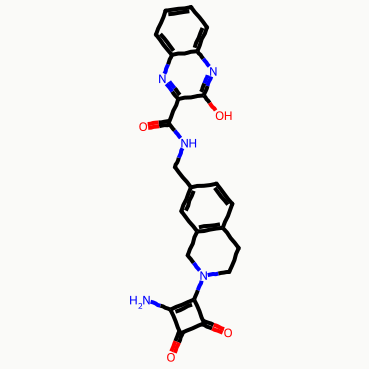 Nc1c(N2CCc3ccc(CNC(=O)c4nc5ccccc5nc4O)cc3C2)c(=O)c1=O